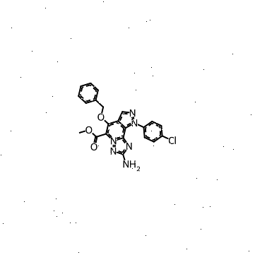 COC(=O)c1c(OCc2ccccc2)c2cnn(-c3ccc(Cl)cc3)c2c2nc(N)nn12